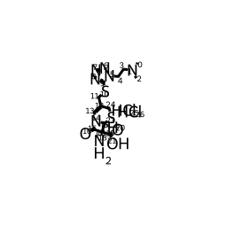 CN(C)CCn1nnnc1SCC1=CN2C(=O)[C@](N)(C(=O)O)[C@@H]2SC1.Cl.Cl